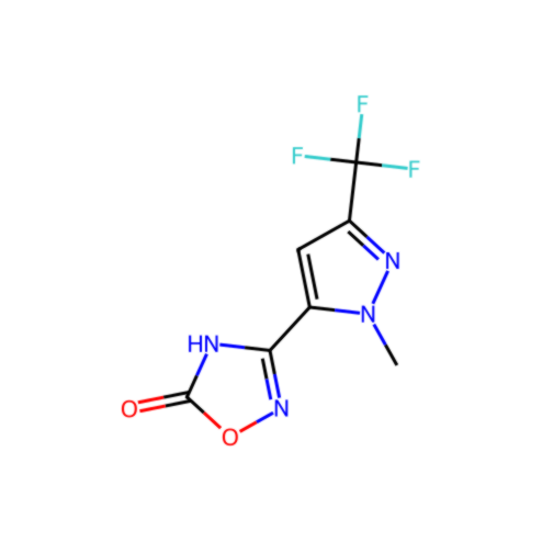 Cn1nc(C(F)(F)F)cc1-c1noc(=O)[nH]1